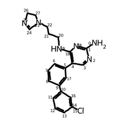 Nc1ncc(-c2cccc(-c3cccc(Cl)c3)c2)c(NCCCN2C=NCC2)n1